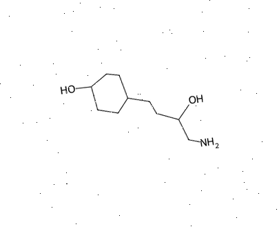 NCC(O)CCC1CCC(O)CC1